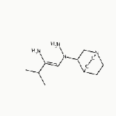 CC(C)/C(N)=C/N(N)C1CN2CCC1CC2